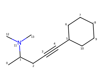 CC(CC#CC1CC[CH]CC1)N(C)C